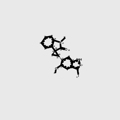 COc1cc2c(I)n[nH]c2cc1[C@@H]1C[C@@]12C(=O)N(C)c1ccccc12